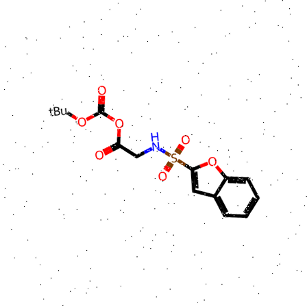 CC(C)(C)OC(=O)OC(=O)CNS(=O)(=O)c1cc2ccccc2o1